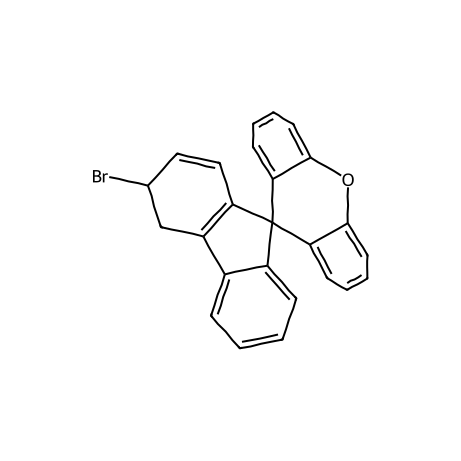 BrC1C=CC2=C(C1)c1ccccc1C21c2ccccc2Oc2ccccc21